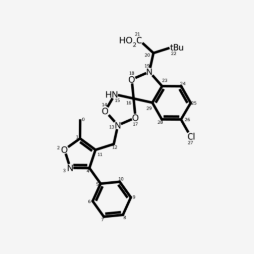 Cc1onc(-c2ccccc2)c1CN1ONC2(O1)ON(C(C(=O)O)C(C)(C)C)c1ccc(Cl)cc12